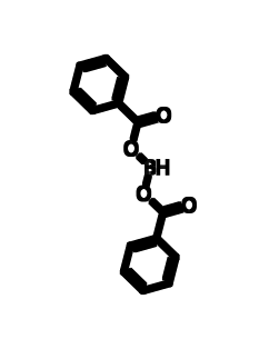 O=C(OBOC(=O)c1ccccc1)c1ccccc1